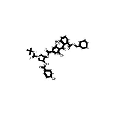 CC(C)(C)OC(=O)N1CC(NC(=O)c2ccc(O)cc2)C(OC(=O)c2cc(O)c(C(=O)c3c(O)cccc3C(=O)OCC3CCCCC3)c(O)c2)C1